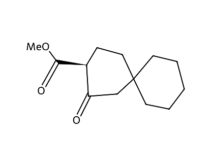 COC(=O)[C@H]1CCC2(CCCCC2)CC1=O